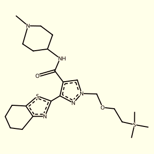 CN1CCC(NC(=O)c2cn(COCCS(C)(C)C)nc2-c2nc3c(s2)CCCC3)CC1